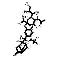 CC(=O)NC1C(O)CC(Oc2cc(C3(OCC(F)(F)F)OOC34C3CC5CC4CC(Cl)(C5)C3)ccc2C)(C(=O)O)OC1C(O)C(O)CO